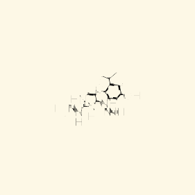 CC(C)c1cc(O)ccc1OC1=CNC(NN)NC1NN=N